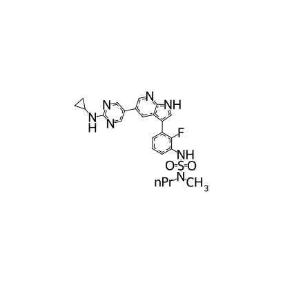 CCCN(C)S(=O)(=O)Nc1cccc(-c2c[nH]c3ncc(-c4cnc(NC5CC5)nc4)cc23)c1F